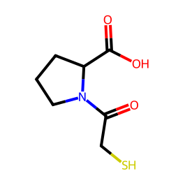 O=C(O)C1CCCN1C(=O)CS